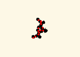 c1ccc(-c2ccc(N(c3ccccc3)c3ccc(N(c4ccccc4)c4ccc(-c5nc6ccccc6nc5-c5ccc(N(c6ccccc6)c6ccc(N(c7ccccc7)c7ccc(-c8ccccc8)cc7)cc6)cc5)cc4)cc3)cc2)cc1